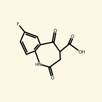 O=C1CC(C(=O)O)C(=O)c2cc(F)ccc2N1